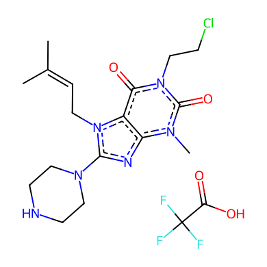 CC(C)=CCn1c(N2CCNCC2)nc2c1c(=O)n(CCCl)c(=O)n2C.O=C(O)C(F)(F)F